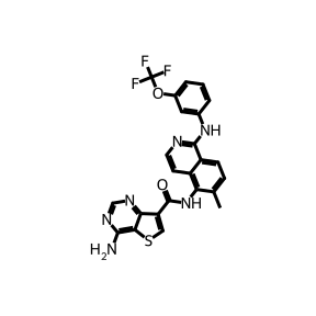 Cc1ccc2c(Nc3cccc(OC(F)(F)F)c3)nccc2c1NC(=O)c1csc2c(N)ncnc12